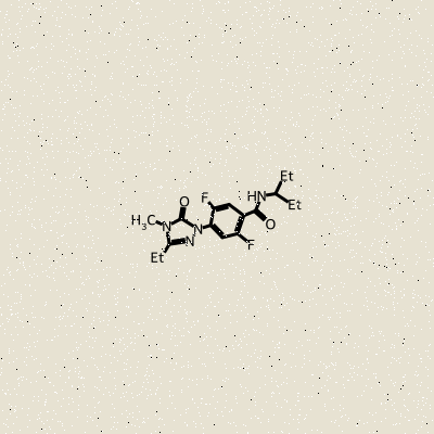 CCc1nn(-c2cc(F)c(C(=O)NC(CC)CC)cc2F)c(=O)n1C